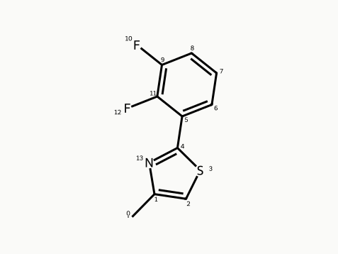 [CH2]c1csc(-c2cccc(F)c2F)n1